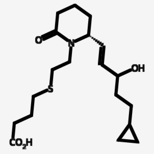 O=C(O)CCCSCCN1C(=O)CCC[C@@H]1/C=C/C(O)CCC1CC1